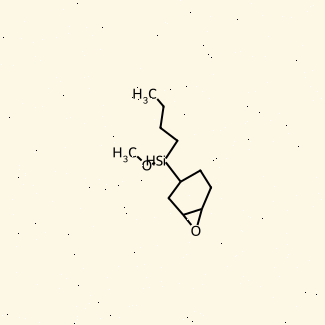 CCCC[SiH](OC)C1CCC2OC2C1